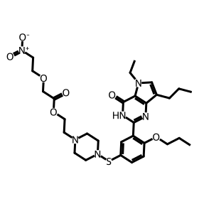 CCCOc1ccc(SN2CCN(CCOC(=O)COCC[N+](=O)[O-])CC2)cc1-c1nc2c(CCC)cn(CC)c2c(=O)[nH]1